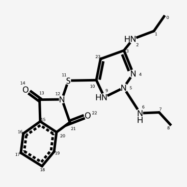 CCNC1=NN(NCC)NC(SN2C(=O)c3ccccc3C2=O)=C1